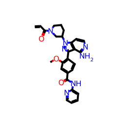 C=CC(=O)N1CCCC(n2nc(-c3ccc(C(=O)Nc4ccccn4)cc3OC)c3c(N)nccc32)C1